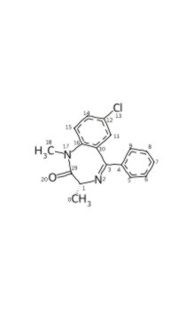 C[C@H]1N=C(c2ccccc2)c2cc(Cl)ccc2N(C)C1=O